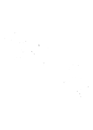 CC(C)(C)OC(=O)N1CCC(CSC(=O)c2ccncc2)CC1